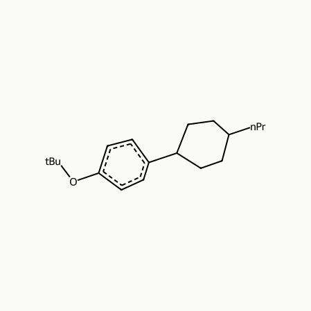 CCCC1CCC(c2ccc(OC(C)(C)C)cc2)CC1